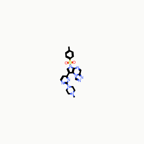 Cc1ccc(S(=O)(=O)n2cc(-c3ccnc(N4CCN(C)CC4)n3)c3c2ncc2nncn23)cc1